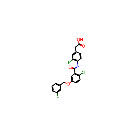 O=C(O)Cc1ccc(NC(=O)c2cc(OCc3cccc(F)c3)ccc2Cl)c(F)c1